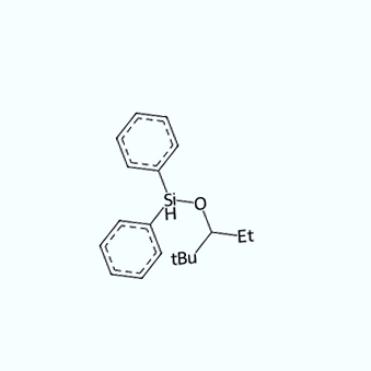 CCC(O[SiH](c1ccccc1)c1ccccc1)C(C)(C)C